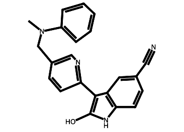 CN(Cc1ccc(-c2c(O)[nH]c3ccc(C#N)cc23)nc1)c1ccccc1